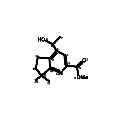 COC(=O)c1cc(C(C)O)c2c(n1)C(C)(C)CC2